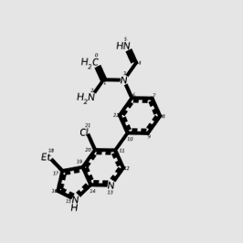 C=C(N)N(C=N)c1cccc(-c2cnc3[nH]cc(CC)c3c2Cl)c1